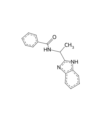 CC(NC(=O)c1ccccc1)c1nc2ccccc2[nH]1